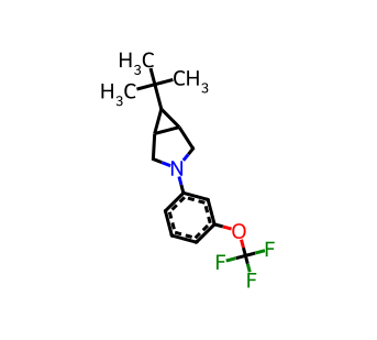 CC(C)(C)C1C2CN(c3cccc(OC(F)(F)F)c3)CC21